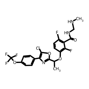 CNCNC(=O)c1c(F)ccc(OC(C)c2nc(-c3ccc(OC(F)(F)F)cc3)c(Cl)o2)c1F